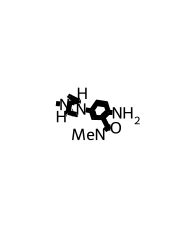 CNC(=O)c1cc(N2C[C@@H]3C[C@H]2CN3C)ccc1N